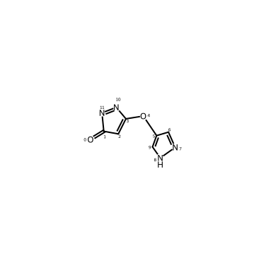 O=C1C=C(Oc2cn[nH]c2)N=N1